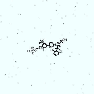 CC(C)(O)c1cn(-c2ccc(C3=CC(S(C)(=O)=O)=C(COCOP(=O)(O)O)C(F)(F)C3)cc2)c(C(C)(C)c2c(Cl)cccc2Cl)n1